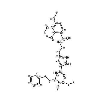 CCOC(=O)[C@H](CCc1ccccc1)NC(=O)C1=CN(CCNC(=O)c2ccc(OC)c(OC)c2OC)NN1